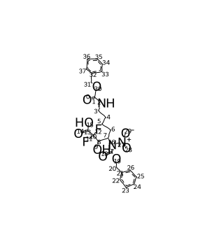 O=C(NCCCCC(C(O)C(F)(F)C(=O)O)N(C(=O)OCc1ccccc1)[N+](=O)[O-])OCc1ccccc1